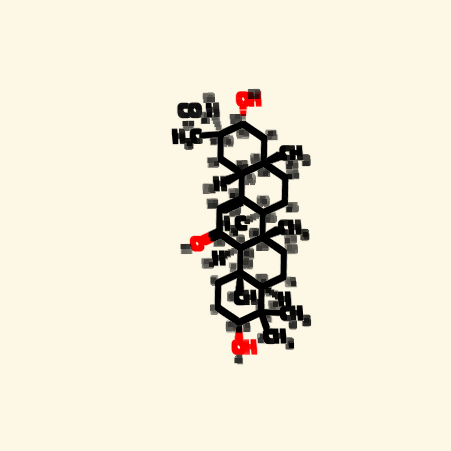 CC1(C)[C@@H](O)CC[C@]2(C)[C@H]3C(=O)C=C4[C@@H]5C[C@](C)(C(=O)O)[C@H](O)C[C@]5(C)CC[C@@]4(C)[C@]3(C)CC[C@@H]12